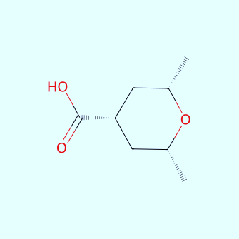 C[C@@H]1C[C@H](C(=O)O)C[C@H](C)O1